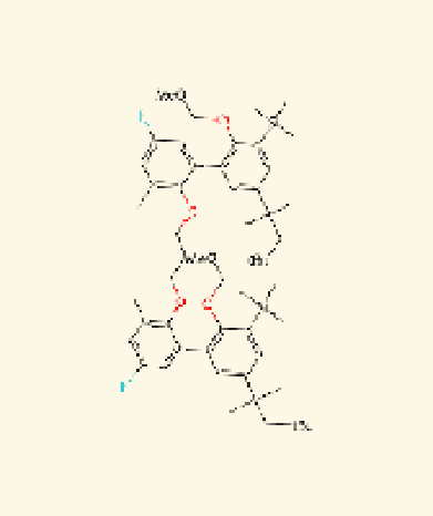 COCOc1c(-c2cc(F)cc(C)c2OCCCOc2c(C)cc(F)cc2-c2cc(C(C)(C)CC(C)(C)C)cc([Si](C)(C)C)c2OCOC)cc(C(C)(C)CC(C)(C)C)cc1[Si](C)(C)C